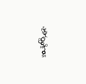 C[C@H](c1cnc(C(F)(F)F)nc1)N1CCC2(CC1)OCCc1cc(C(=O)NCc3ccc(S)cc3)sc12